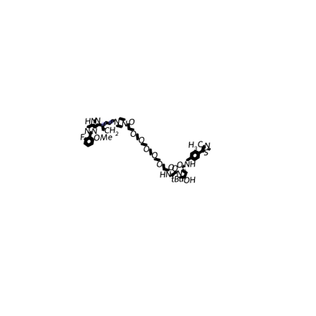 C=C/C(=C\C=C\N1CCN(C(=O)CCOCCOCCOCCOCCOCCC(=O)N[C@H](C(=O)N2C[C@H](O)C[C@H]2C(=O)NCc2ccc(-c3scnc3C)cc2)C(C)(C)C)CC1)c1n[nH]c2cnc(-c3c(F)cccc3OC)nc12